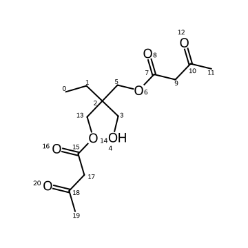 CCC(CO)(COC(=O)CC(C)=O)COC(=O)CC(C)=O